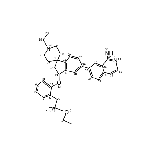 CCOC(=O)Cc1ccccc1OC1CC2(CCN(CC)CC2)c2ccc(-c3ccc4ccnc(N)c4c3)cc21